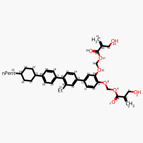 C=C(CO)C(=O)OCOc1ccc(-c2ccc(-c3ccc(C4CCC(CCCCC)CC4)cc3)c(CC)c2)cc1OCOC(=O)C(=C)CO